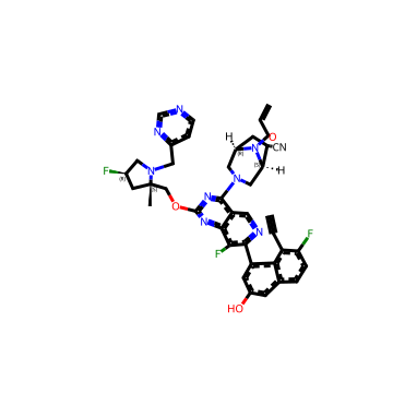 C#Cc1c(F)ccc2cc(O)cc(-c3ncc4c(N5C[C@H]6CC(C#N)[C@@H](C5)N6C(=O)C=C)nc(OC[C@]5(C)C[C@@H](F)CN5Cc5ccncn5)nc4c3F)c12